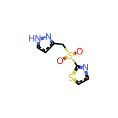 O=S(=O)(Cc1cc[nH]n1)c1nccs1